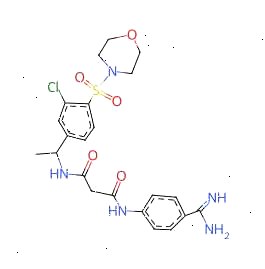 CC(NC(=O)CC(=O)Nc1ccc(C(=N)N)cc1)c1ccc(S(=O)(=O)N2CCOCC2)c(Cl)c1